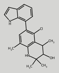 Cc1cc(-c2cccc3cc[nH]c23)c(Cl)c2c1NC(C)(C)C(O)C2C